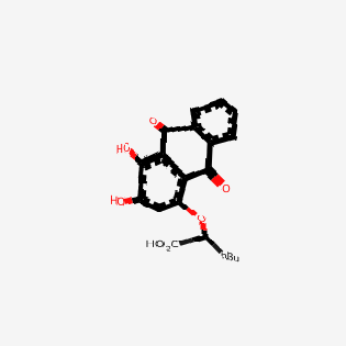 CCCCC(Oc1cc(O)c(O)c2c1C(=O)c1ccccc1C2=O)C(=O)O